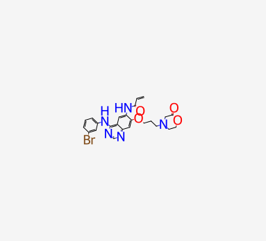 C=CC(=O)Nc1cc2c(Nc3cccc(Br)c3)ncnc2cc1OCCCN1CCOC(=O)C1